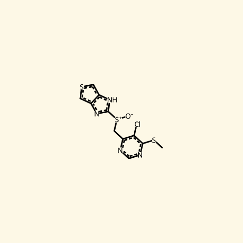 CSc1ncnc(C[S+]([O-])c2nc3cscc3[nH]2)c1Cl